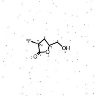 O=C1OC(CO)C[C@@H]1F